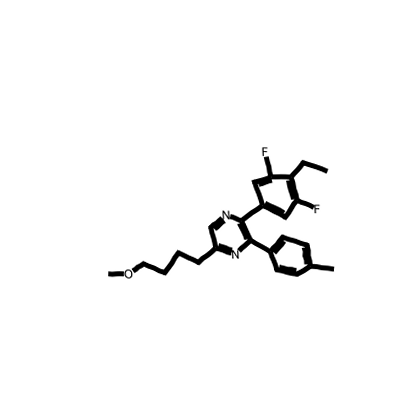 CCc1c(F)cc(-c2ncc(CCCCOC)nc2-c2ccc(C)cc2)cc1F